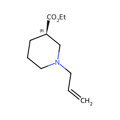 C=CCN1CCC[C@@H](C(=O)OCC)C1